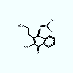 CCCCCCCCCCCCC1=C(OC(C)=O)C(=O)c2ccccc2C1=O.O=[Si](O)O